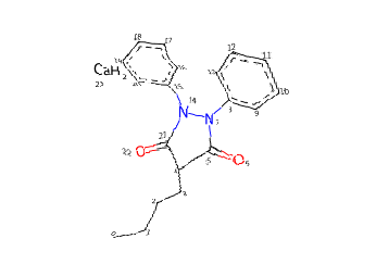 CCCCC1C(=O)N(c2ccccc2)N(c2ccccc2)C1=O.[CaH2]